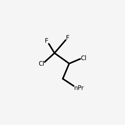 CCCCC(Cl)C(F)(F)Cl